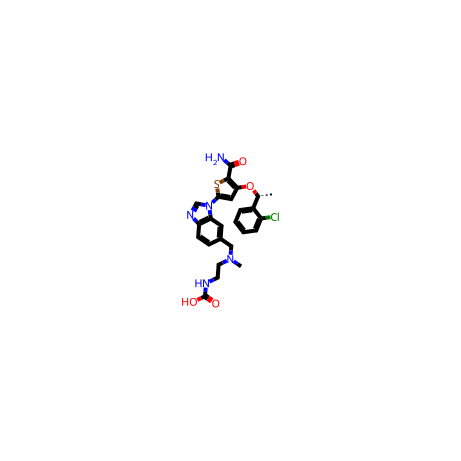 C[C@@H](Oc1cc(-n2cnc3ccc(CN(C)CCNC(=O)O)cc32)sc1C(N)=O)c1ccccc1Cl